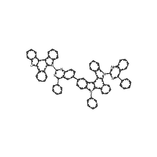 c1ccc(-c2nc(-n3c4ccccc4c4c5c6ccccc6oc5c5ccccc5c43)nc3ccc(-c4ccc5c(c4)c4c6c7ccccc7n(-c7nc(-c8ccccc8)c8ccccc8n7)c6c6ccccc6c4n5-c4ccccc4)cc23)cc1